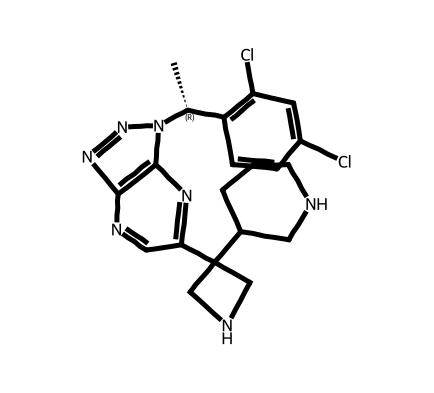 C[C@H](c1ccc(Cl)cc1Cl)n1nnc2ncc(C3(C4CCCNC4)CNC3)nc21